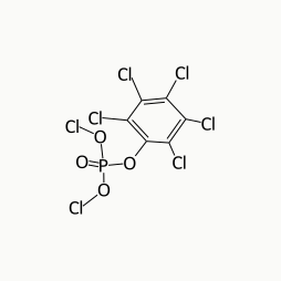 O=P(OCl)(OCl)Oc1c(Cl)c(Cl)c(Cl)c(Cl)c1Cl